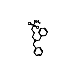 NS(=O)(=O)CCCN(Cc1ccccc1)Cc1ccccc1